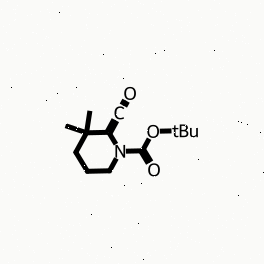 CC(C)(C)OC(=O)N1CCCC(C)(C)C1=C=O